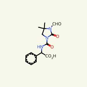 CC1(C)CN(C(=O)NC(C(=O)O)c2ccccc2)C(=O)N1C=O